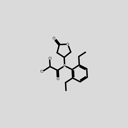 CCc1cccc(CC)c1N(C(=O)C(Cl)Cl)C1COC(=O)C1